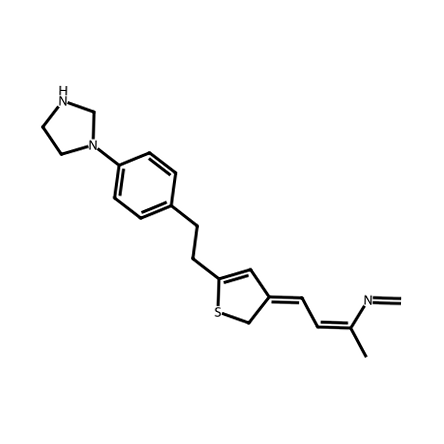 C=N/C(C)=C\C=C1\C=C(CCc2ccc(N3CCNC3)cc2)SC1